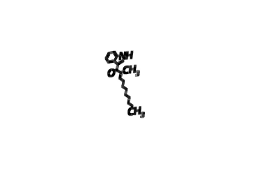 CCCCCCCC/C=C(\C)C(=O)c1c[nH]c2ccccc12